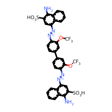 Nc1c(S(=O)(=O)O)cc(/N=N/c2ccc(-c3ccc(/N=N/c4cc(S(=O)(=O)O)c(N)c5ccccc45)c(OC(F)(F)F)c3)cc2OC(F)(F)F)c2ccccc12